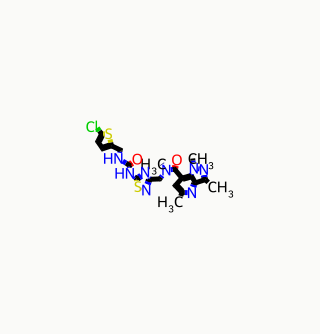 Cc1cc(C(=O)N(C)Cc2nsc(NC(=O)NCc3ccc(Cl)s3)n2)c2c(n1)c(C)nn2C